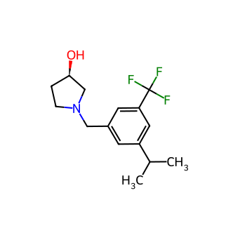 CC(C)c1cc(CN2CC[C@@H](O)C2)cc(C(F)(F)F)c1